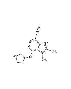 Cc1[nH]c2c(C#N)ccc(NC3CCNC3)c2c1C